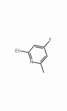 CCc1cc(F)cc(C)n1